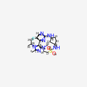 Cc1ncc(-c2nc(N[C@@H]3CC[C@H](NS(=O)(=O)CCN(C)C)C3)ncc2F)n1C(C)C